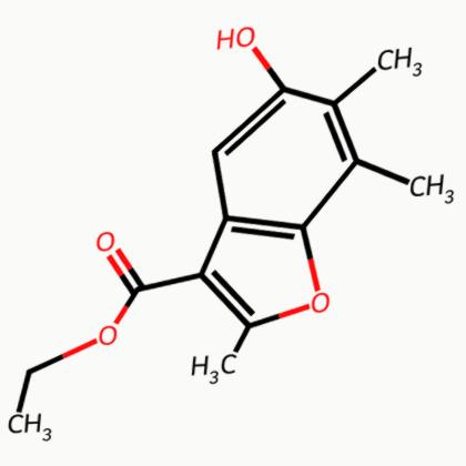 CCOC(=O)c1c(C)oc2c(C)c(C)c(O)cc12